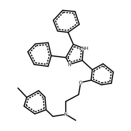 Cc1ccc(CN(C)CCOc2ccccc2-c2nc(-c3ccccc3)c(-c3ccccc3)[nH]2)cc1